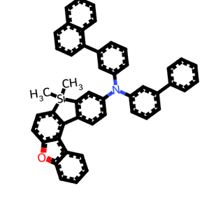 C[Si]1(C)c2cc(N(c3cccc(-c4ccccc4)c3)c3cccc(-c4cccc5ccccc45)c3)ccc2-c2c1ccc1oc3ccccc3c21